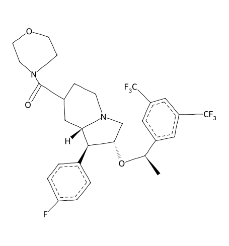 C[C@@H](O[C@H]1CN2CCC(C(=O)N3CCOCC3)C[C@H]2[C@@H]1c1ccc(F)cc1)c1cc(C(F)(F)F)cc(C(F)(F)F)c1